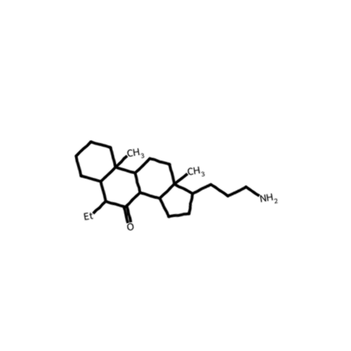 CCC1C(=O)C2C3CCC(CCCN)C3(C)CCC2C2(C)CCCCC12